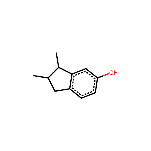 CC1Cc2ccc(O)cc2C1C